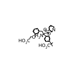 CC(C)(C(=O)O)c1ccc(C(N)(Cc2cccc(OCC(=O)O)c2)S(=O)(=O)c2cccnc2)cc1